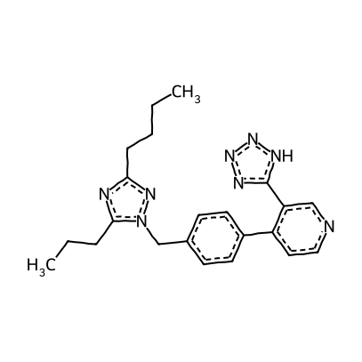 CCCCc1nc(CCC)n(Cc2ccc(-c3ccncc3-c3nnn[nH]3)cc2)n1